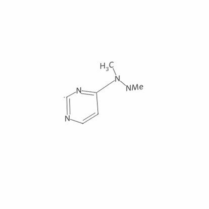 CNN(C)c1ccn[c]n1